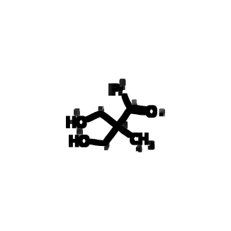 CC(C)C(=O)C(C)(CO)CO